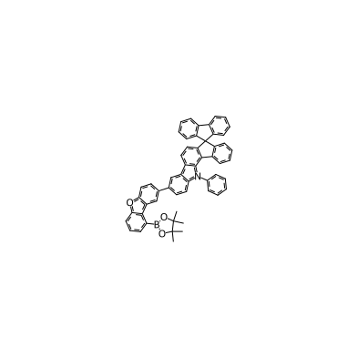 CC1(C)OB(c2cccc3oc4ccc(-c5ccc6c(c5)c5ccc7c(c5n6-c5ccccc5)-c5ccccc5C75c6ccccc6-c6ccccc65)cc4c23)OC1(C)C